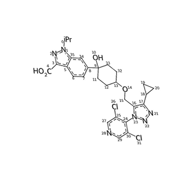 CC(C)n1nc(C(=O)O)c2ccc(C3(O)CCC(OCc4c(C5CC5)nnn4-c4c(Cl)cncc4Cl)CC3)cc21